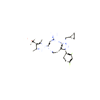 Cc1nn(C2=C/C(=N)Nc3c(c(-c4ccc(F)cc4F)nn3CC3CC3)C/C=N\2)c(C)c1C(C)(C)O